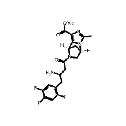 COC(=O)c1nc(C)n2c1[C@H]1C[C@@H]2CN1C(=O)C[C@H](N)Cc1cc(F)c(F)cc1F